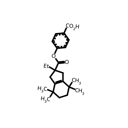 CCC1(C(=O)Oc2ccc(C(=O)O)cc2)CC2=C(C1)C(C)(C)CCC2(C)C